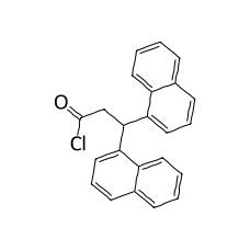 O=C(Cl)CC(c1cccc2ccccc12)c1cccc2ccccc12